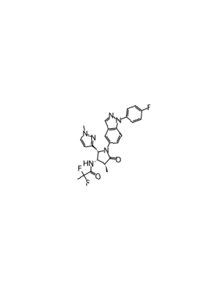 C[C@@H]1C(=O)N(c2ccc3c(cnn3-c3ccc(F)cc3)c2)[C@H](c2ccn(C)n2)[C@H]1NC(=O)C(C)(F)F